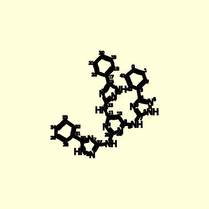 c1ccc(-c2n[nH]c(Nc3cc(Nc4n[nH]c(-c5ccccc5)n4)nc(Nc4n[nH]c(-c5ccccc5)n4)n3)n2)cc1